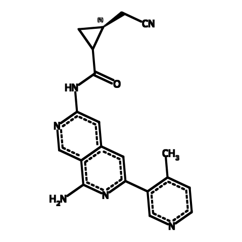 Cc1ccncc1-c1cc2cc(NC(=O)C3C[C@H]3CC#N)ncc2c(N)n1